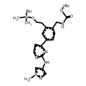 CCCCOC(=O)NCc1ccc(-c2ccnc(Nc3cnn(C)c3)n2)cc1CCO[Si](C)(C)C(C)(C)C